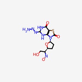 NN=NC1NC(=O)c2sc(=O)n([C@H]3CC[C@@H](C(CO)N=O)O3)c2N1